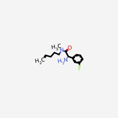 C=CCCCN(C)C(=O)[C@@H](N)c1cccc(F)c1